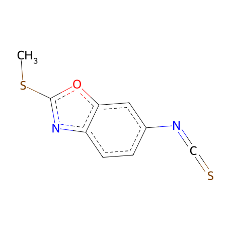 CSc1nc2ccc(N=C=S)cc2o1